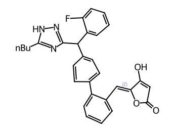 CCCCc1nc(C(c2ccc(-c3ccccc3/C=C3\OC(=O)C=C3O)cc2)c2ccccc2F)n[nH]1